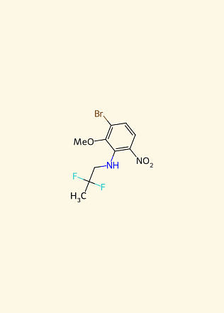 COc1c(Br)ccc([N+](=O)[O-])c1NCC(C)(F)F